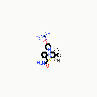 CCc1c(C#N)c(SC(C(N)=O)c2ccccc2)nc(N2CCC(ONC(=N)N)CC2)c1C#N